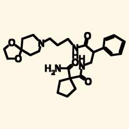 NC(=O)C1(C(=O)NCC(C(=O)NCCCN2CCC3(CC2)OCCO3)c2ccccc2)CCCC1